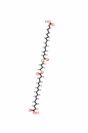 O=C(O)CCCCCCCCCCCCCCCC(=O)OCCCCOC(=O)CCCCCCCCCCCCCCCC(=O)O